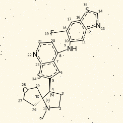 CN1CC[C@H](c2cc3c(Nc4cc5ncsc5cc4F)ccnc3s2)[C@@]12CCOC2